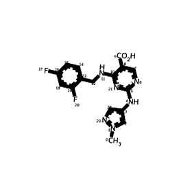 Cn1cc(Nc2ncc(C(=O)O)c(NCc3ccc(F)cc3F)n2)cn1